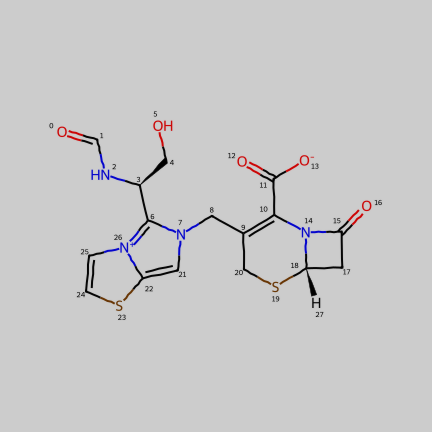 O=CN[C@@H](CO)c1n(CC2=C(C(=O)[O-])N3C(=O)C[C@@H]3SC2)cc2scc[n+]12